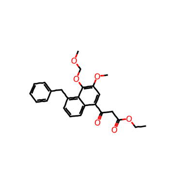 CCOC(=O)CC(=O)c1cc(OC)c(OCOC)c2c(Cc3ccccc3)cccc12